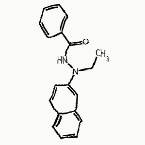 CCN(NC(=O)c1ccccc1)c1ccc2ccccc2c1